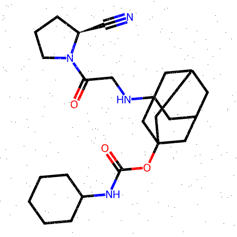 N#C[C@@H]1CCCN1C(=O)CNC12CC3CC(C1)CC(OC(=O)NC1CCCCC1)(C3)C2